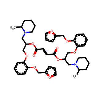 CC1CCCCN1CC(COc1ccccc1OCc1ccco1)OC(=O)/C=C/C(=O)OC(COc1ccccc1OCc1ccco1)CN1CCCCC1C